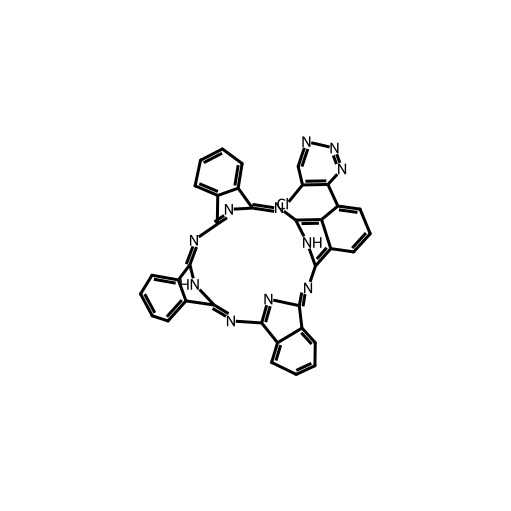 Clc1cnnnc1-c1cccc2c3nc4nc(nc5[nH]c(nc6nc(nc([nH]3)c12)-c1ccccc1-6)c1ccccc51)-c1ccccc1-4